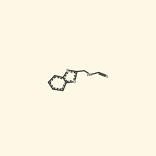 S=CNCc1nc2ccccc2o1